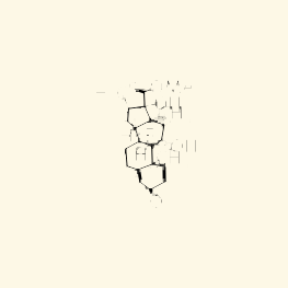 COC(=S)[C@@]1(O)[C@H](C)C[C@H]2[C@@H]3CCC4=CC(=O)C=C[C@]4(C)[C@@]3(F)[C@@H](O)C[C@@]21C